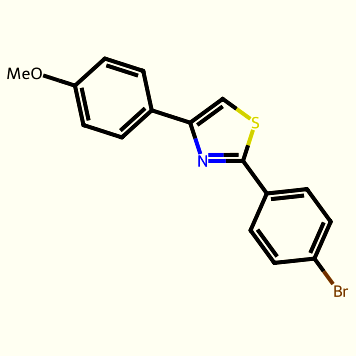 COc1ccc(-c2csc(-c3ccc(Br)cc3)n2)cc1